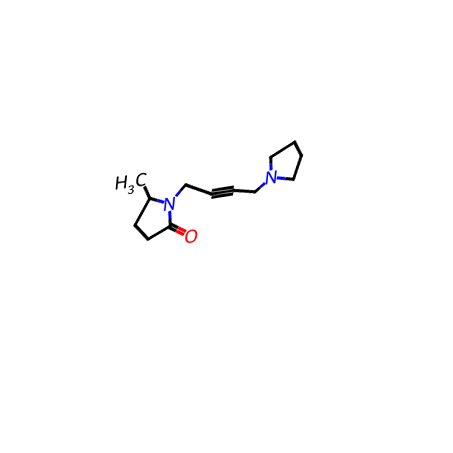 CC1CCC(=O)N1CC#CCN1CCCC1